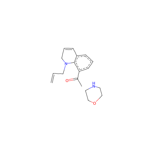 C1COCCN1.C=CCN1CC=Cc2cccc(C(C)=O)c21